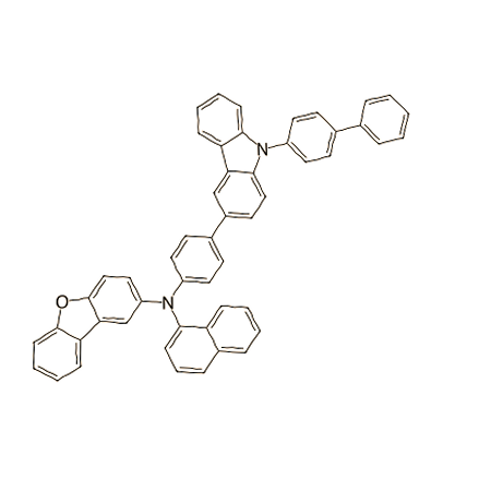 c1ccc(-c2ccc(-n3c4ccccc4c4cc(-c5ccc(N(c6ccc7oc8ccccc8c7c6)c6cccc7ccccc67)cc5)ccc43)cc2)cc1